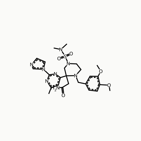 COc1ccc(CN2CCN(S(=O)(=O)N(C)C)CC2(CC(N)=O)c2cc(C)nc(-n3ccnc3)n2)cc1OC